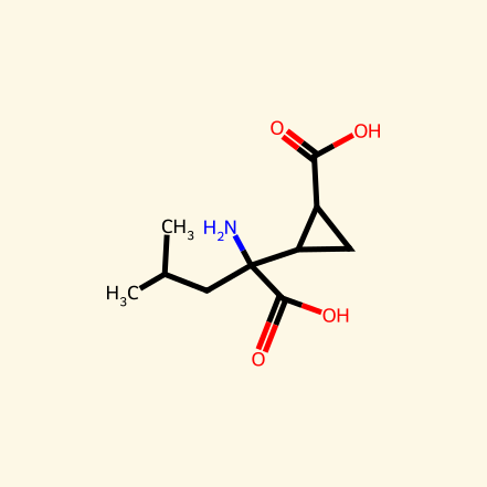 CC(C)CC(N)(C(=O)O)C1CC1C(=O)O